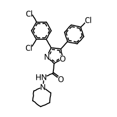 O=C(NN1CCCCC1)c1nc(-c2ccc(Cl)cc2Cl)c(-c2ccc(Cl)cc2)o1